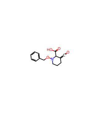 O=C=C1CCCN(OCc2ccccc2)C1C(=O)O